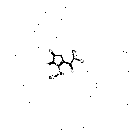 CCCNC1=C(C(=O)N(CC)C(C)C)CC(=O)C1=O